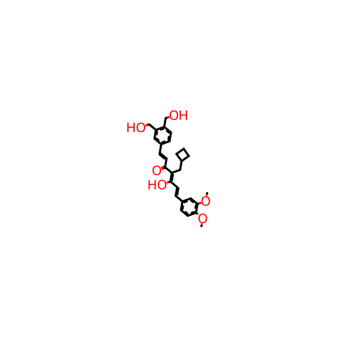 COc1ccc(/C=C/C(O)=C(\CC2CCC2)C(=O)/C=C/c2ccc(CO)c(CO)c2)cc1OC